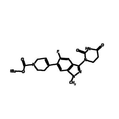 Cn1nc(N2CCC(=O)NC2=O)c2cc(F)c(C3=CCN(C(=O)OC(C)(C)C)CC3)cc21